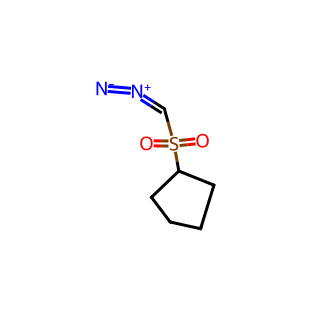 [N-]=[N+]=CS(=O)(=O)C1CCCC1